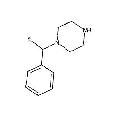 F[C](c1ccccc1)N1CCNCC1